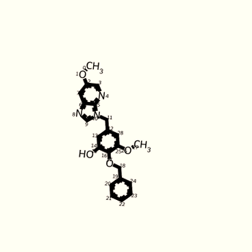 COc1cnc2c(c1)ncn2Cc1cc(O)c(OCc2ccccc2)c(OC)c1